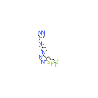 FC(F)(F)Cc1cc2c(N3CCC4(CN(Cc5ccnnc5)C4)C3)ncnc2s1